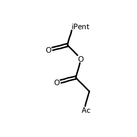 CCCC(C)C(=O)OC(=O)CC(C)=O